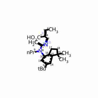 C=C(/N=C\C(=C/C)C(=O)O)N(CCC)c1cc(C(C)(C)C)cc2c1CCC2(C)C